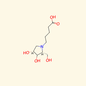 O=C(O)CCCCN1C[C@@H](O)C(O)[C@H]1CO